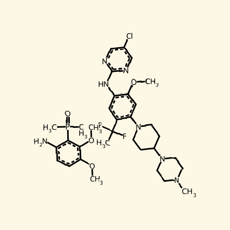 COc1cc(N2CCC(N3CCN(C)CC3)CC2)c(C(C)(F)F)cc1Nc1ncc(Cl)cn1.COc1ccc(N)c(P(C)(C)=O)c1OC